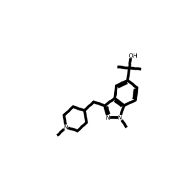 CN1CCC(Cc2nn(C)c3ccc(C(C)(C)O)cc23)CC1